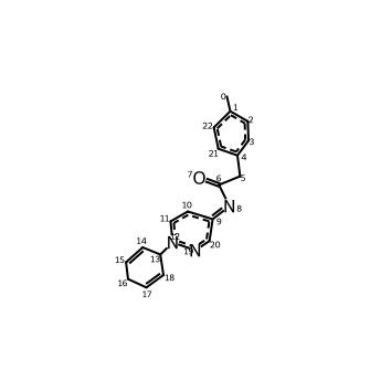 Cc1ccc(CC(=O)N=c2ccn(C3C=CCC=C3)nc2)cc1